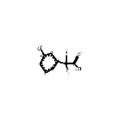 O=C(Cl)C(F)(F)c1cccc(Cl)c1